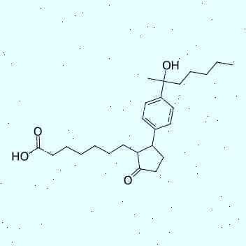 CCCCCC(C)(O)c1ccc(C2CCC(=O)C2CCCCCCC(=O)O)cc1